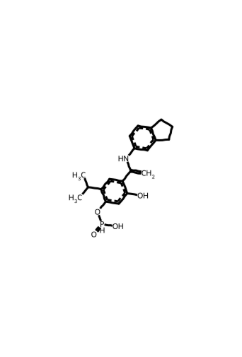 C=C(Nc1ccc2c(c1)CCC2)c1cc(C(C)C)c(O[PH](=O)O)cc1O